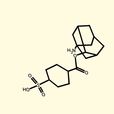 NC12CC3CC(C1)C(OC(=O)C1CCC(S(=O)(=O)O)CC1)C(C3)C2